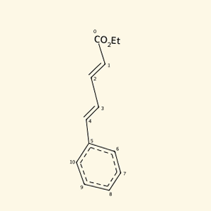 CCOC(=O)/C=C/C=Cc1ccccc1